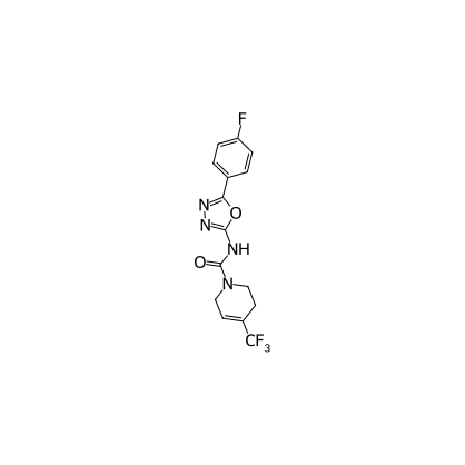 O=C(Nc1nnc(-c2ccc(F)cc2)o1)N1CC=C(C(F)(F)F)CC1